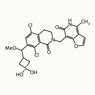 COC(c1cc(Cl)c2c(c1Cl)C(=O)N(Cc1c(=O)[nH]c(C)c3ccoc13)CC2)C1CS(O)(O)C1